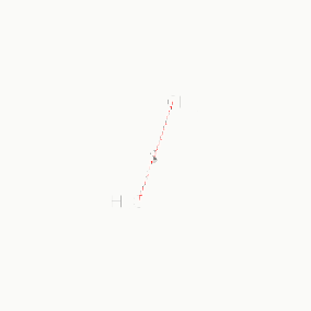 CCCCCCCCCCCCCCCCCCCCCCSCCCCCCCCCCCCCCCCCC